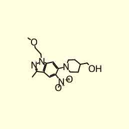 COCCn1nc(C)c2cc([N+](=O)[O-])c(N3CCC(CO)CC3)cc21